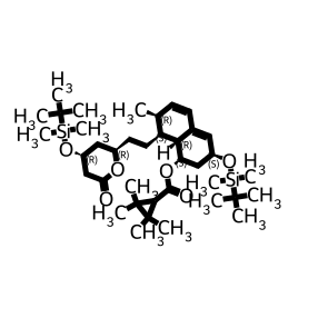 C[C@H]1C=CC2=C[C@@H](O[Si](C)(C)C(C)(C)C)C[C@H](OC(=O)C3C(C)(C)C3(C)C)[C@@H]2[C@H]1CC[C@@H]1C[C@@H](O[Si](C)(C)C(C)(C)C)CC(=O)O1